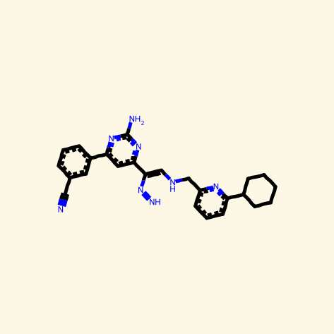 N#Cc1cccc(-c2cc(/C(=C/NCc3cccc(C4CCCCC4)n3)N=N)nc(N)n2)c1